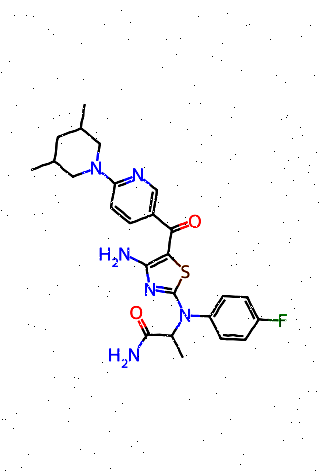 CC1CC(C)CN(c2ccc(C(=O)c3sc(N(c4ccc(F)cc4)C(C)C(N)=O)nc3N)cn2)C1